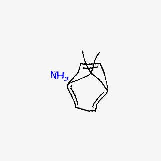 CC1(C)C2=CC=C1C=C2.N